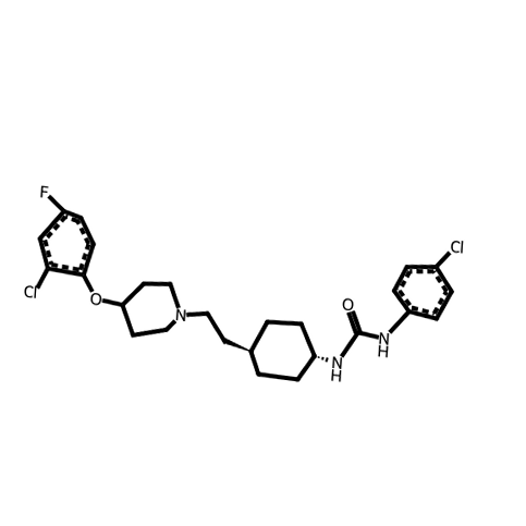 O=C(Nc1ccc(Cl)cc1)N[C@H]1CC[C@H](CCN2CCC(Oc3ccc(F)cc3Cl)CC2)CC1